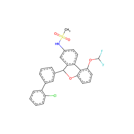 CS(=O)(=O)Nc1ccc2c(c1)C(c1cccc(-c3ccccc3Cl)c1)Oc1cccc(OC(F)F)c1-2